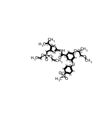 CCOP(=O)(Cc1nc(NC(=O)c2cc(Oc3ccc(S(C)(=O)=O)cc3)cc(O[C@@H](C)COC)c2)sc1C(C)C)OCC